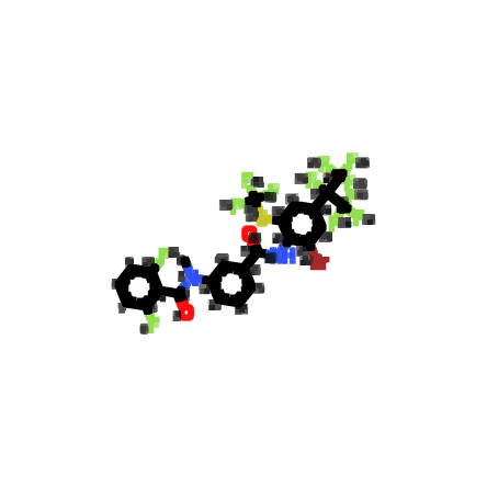 CN(C(=O)c1c(F)cccc1F)c1cccc(C(=O)Nc2c(Br)cc(C(F)(C(F)(F)F)C(F)(F)F)cc2SC(F)(F)F)c1